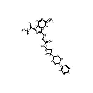 CC(C)NC(=O)n1nc(NCC(=O)NC2CN([C@H]3CC[C@@H](c4ccccc4)CC3)C2)c2cc(C(F)(F)F)ccc21